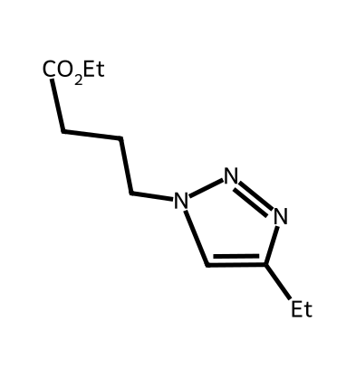 CCOC(=O)CCCn1cc(CC)nn1